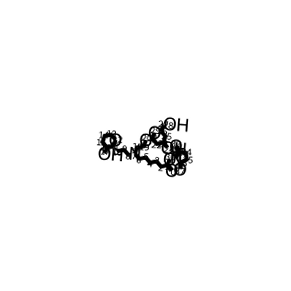 O=C(CCCCCN(CCC[C@@H]1OCCCC1O)CCO[C@H]1CC(O)CC(CO)O1)ON1C(=O)CCC1=O